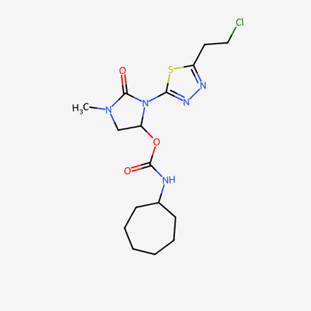 CN1CC(OC(=O)NC2CCCCCC2)N(c2nnc(CCCl)s2)C1=O